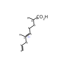 C=CC/C(C)=C/CCC(C)C(=O)O